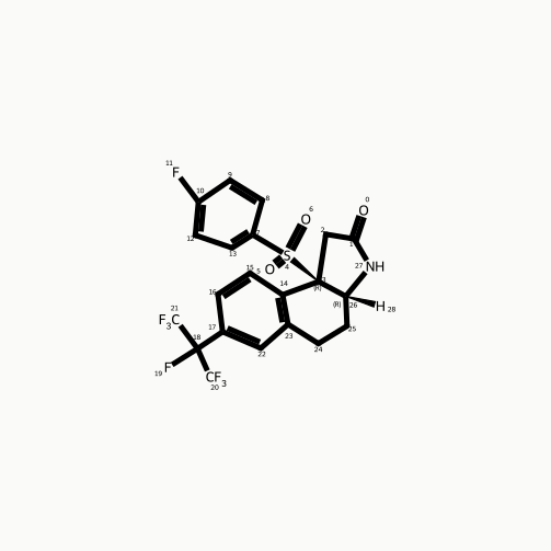 O=C1C[C@@]2(S(=O)(=O)c3ccc(F)cc3)c3ccc(C(F)(C(F)(F)F)C(F)(F)F)cc3CC[C@H]2N1